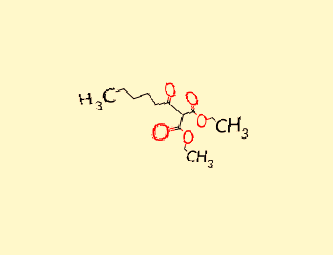 CCCCCC(=O)C(C(=O)OCC)C(=O)OCC